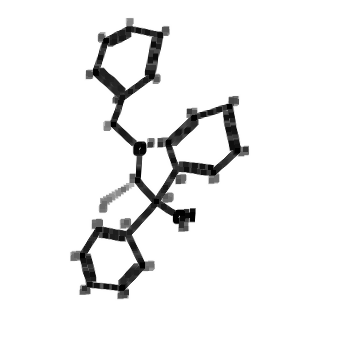 C[C@H](OCc1ccccc1)C(O)(c1ccccc1)c1ccccc1